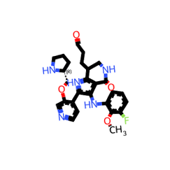 COc1c(F)cccc1Nc1c(-c2ccncc2OC[C@H]2CCCN2)[nH]c2c1C(=O)NCC2CCC=O